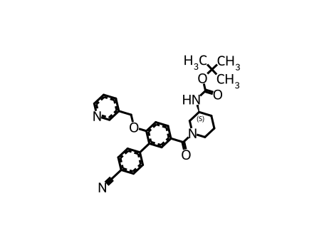 CC(C)(C)OC(=O)N[C@H]1CCCN(C(=O)c2ccc(OCc3cccnc3)c(-c3ccc(C#N)cc3)c2)C1